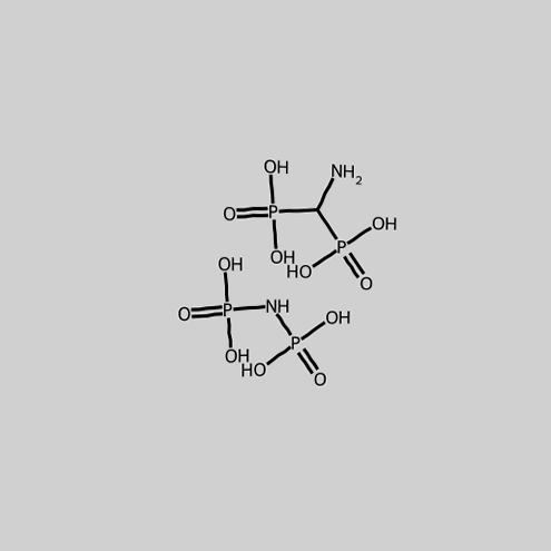 NC(P(=O)(O)O)P(=O)(O)O.O=P(O)(O)NP(=O)(O)O